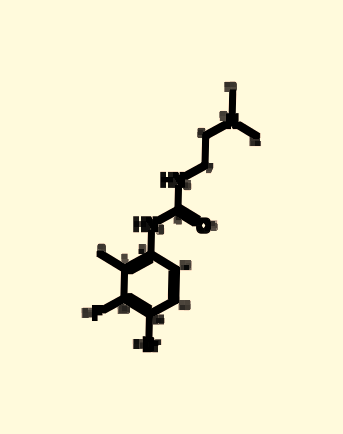 Cc1c(NC(=O)NCCN(C)C)ccc(Br)c1F